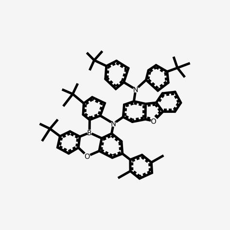 Cc1ccc(C)c(-c2cc3c4c(c2)N(c2cc(N(c5ccc(C(C)(C)C)cc5)c5ccc(C(C)(C)C)cc5)c5c(c2)oc2ccccc25)c2ccc(C(C)(C)C)cc2B4c2cc(C(C)(C)C)ccc2O3)c1